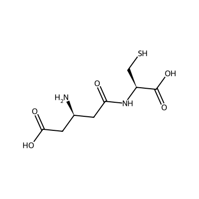 N[C@H](CC(=O)O)CC(=O)N[C@@H](CS)C(=O)O